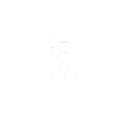 c1ccc(-n2c3ccccc3c3cc4ccc5cccc6[nH]c(c4c56)c32)cc1